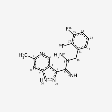 Cc1ncc2c(C(=N)N(N)Cc3cccc(F)c3F)n[nH]c2n1